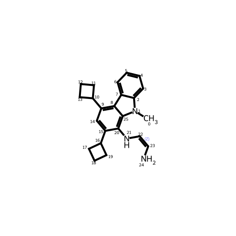 Cn1c2ccccc2c2c(C3CCC3)cc(C3CCC3)c(N/C=C\N)c21